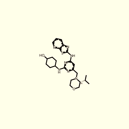 CC(C)[C@@H]1COCCN1Cc1cc(Nc2nc3cccnc3s2)nc(NC2CCC(O)CC2)n1